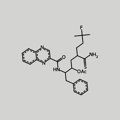 CC(=O)OC(CC(CCC(C)(C)F)C(N)=S)C(Cc1ccccc1)NC(=O)c1cnc2ccccc2n1